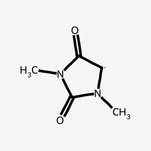 CN1[CH]C(=O)N(C)C1=O